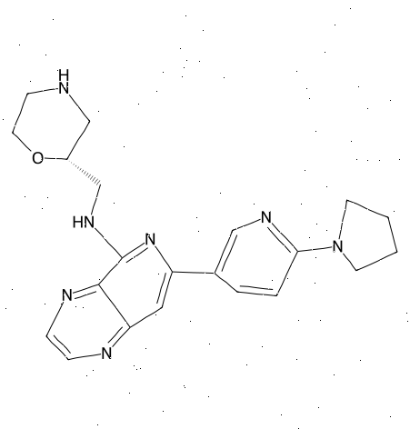 c1cnc2c(NC[C@H]3CNCCO3)nc(-c3ccc(N4CCCC4)nc3)cc2n1